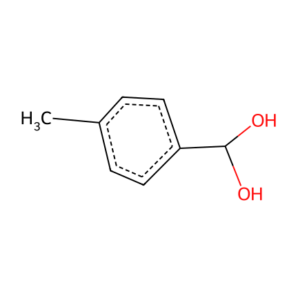 Cc1ccc(C(O)O)cc1